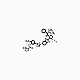 C=C1CCN(C(=O)[C@@H](c2ccccc2)N(C)C)[C@@H]1c1nc2cc(-c3cnc(-c4ccc(C)c(NC(=O)[C@@H]5CCCN5)c4)o3)ccc2[nH]1